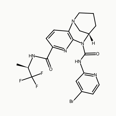 C[C@@H](NC(=O)c1ccc2c(n1)N(C(=O)Nc1cc(Br)ccn1)[C@H]1CCCN2C1)C(F)(F)F